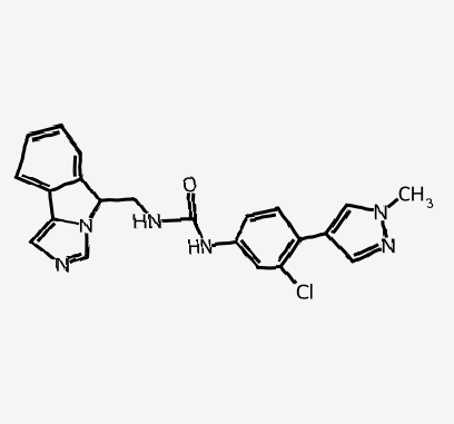 Cn1cc(-c2ccc(NC(=O)NCC3c4ccccc4-c4cncn43)cc2Cl)cn1